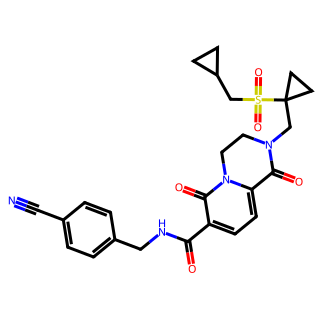 N#Cc1ccc(CNC(=O)c2ccc3n(c2=O)CCN(CC2(S(=O)(=O)CC4CC4)CC2)C3=O)cc1